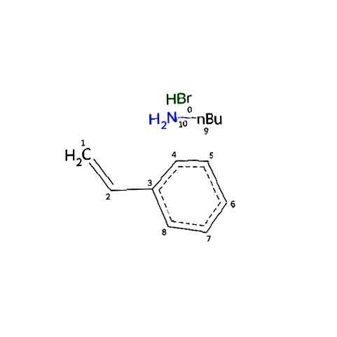 Br.C=Cc1ccccc1.CCCCN